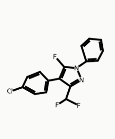 Fc1c(-c2ccc(Cl)cc2)c(C(F)F)nn1-c1ccccc1